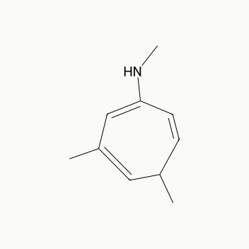 CNC1=CC(C)=CC(C)C=C1